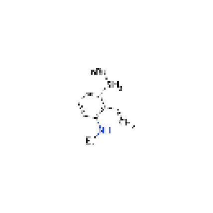 C=Cc1c(NCC)cccc1[SiH2]CCCC